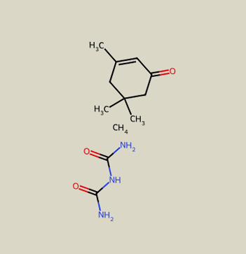 C.CC1=CC(=O)CC(C)(C)C1.NC(=O)NC(N)=O